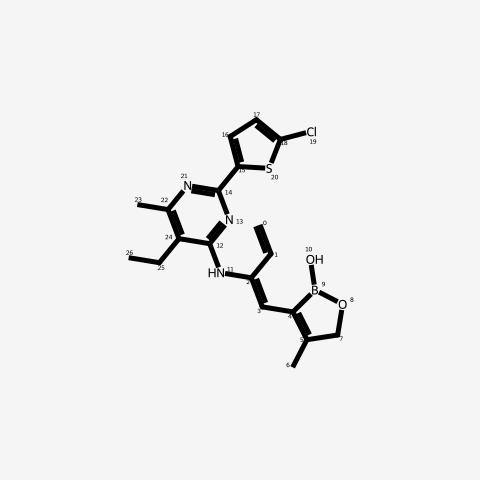 C=C/C(=C\C1=C(C)COB1O)Nc1nc(-c2ccc(Cl)s2)nc(C)c1CC